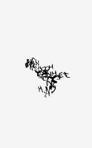 CCSC=C(C(=O)NC1C(=O)N2C(C(=O)O)=C(CSc3nnnn3C)CS[C@@H]12)c1csc(N)n1